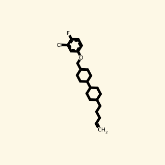 C=CCCCC1CCC(C2CCC(COc3ccc(F)c(Cl)c3)CC2)CC1